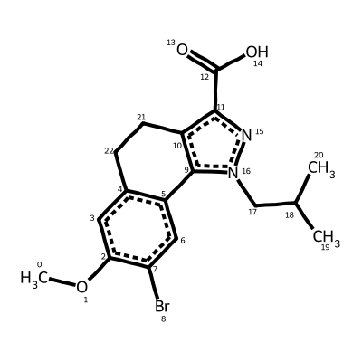 COc1cc2c(cc1Br)-c1c(c(C(=O)O)nn1CC(C)C)CC2